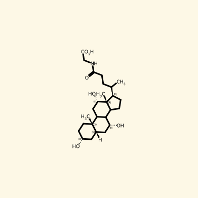 CC(CCC(=O)NCC(=O)O)[C@H]1CCC2C3C(C[C@H](O)[C@@]21C)[C@@]1(C)CC[C@@H](O)C[C@H]1C[C@H]3O